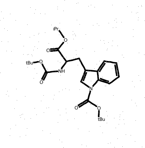 CC(C)OC(=O)C(Cc1cn(C(=O)OC(C)(C)C)c2ccccc12)NC(=O)OC(C)(C)C